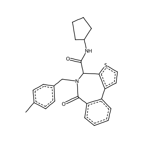 Cc1ccc(CN2C(=O)c3ccccc3-c3ccsc3C2C(=O)NC2CCCC2)cc1